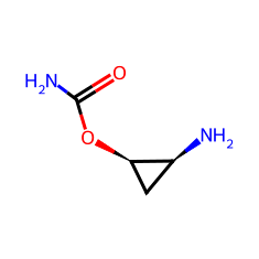 NC(=O)O[C@@H]1C[C@@H]1N